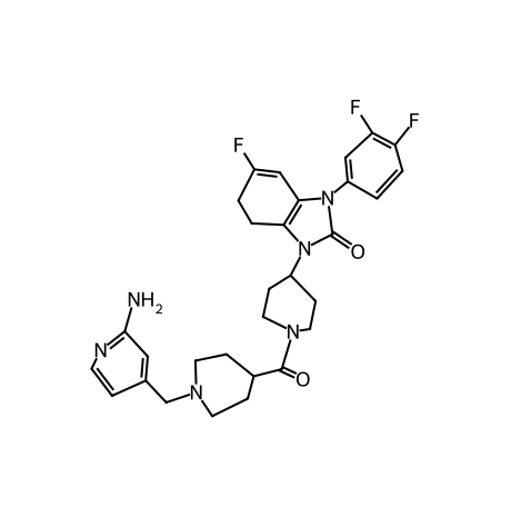 Nc1cc(CN2CCC(C(=O)N3CCC(n4c5c(n(-c6ccc(F)c(F)c6)c4=O)C=C(F)CC5)CC3)CC2)ccn1